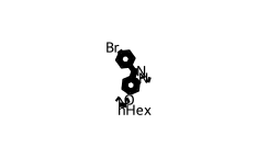 CCCCCCN(C)Oc1ccc2c(-c3ccc(Br)cc3)nn(C)c2c1